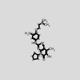 CC(=O)c1c(C)c2cnc(Nc3ccc(OCCN(C)C)c(C)c3)nc2n(C2CCCC2)c1=O